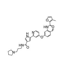 Cc1ccoc1C(=O)Nc1cc(Oc2ccnc(-c3cc(C(=O)NCCCN4CCCC4)c[nH]3)c2)ccc1F